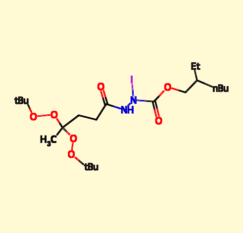 CCCCC(CC)COC(=O)N(I)NC(=O)CCC(C)(OOC(C)(C)C)OOC(C)(C)C